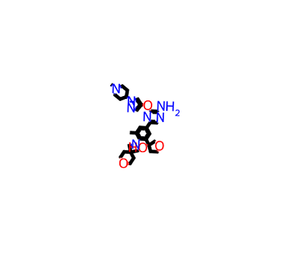 Cc1cc(-c2cnc(N)c(Oc3cnn(C4CCN(C)CC4)c3)n2)cc(C2(O)CCOC2)c1N1CC2(CCOCC2)C1